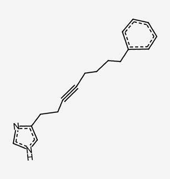 C(#CCCc1c[nH]cn1)CCCCc1ccccc1